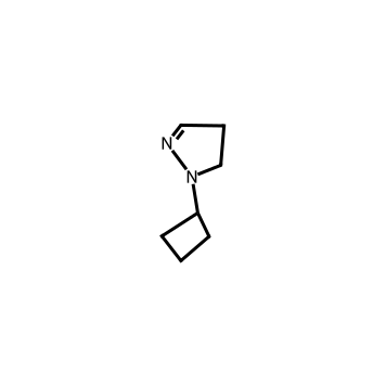 C1=NN(C2CCC2)CC1